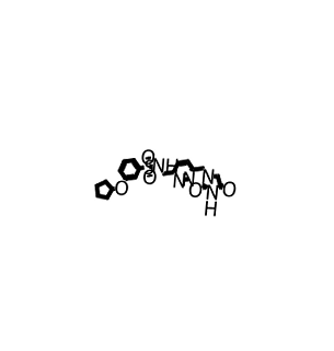 O=C1CN(Cc2ccc(CNS(=O)(=O)c3cccc(OC4CCCC4)c3)nn2)C(=O)N1